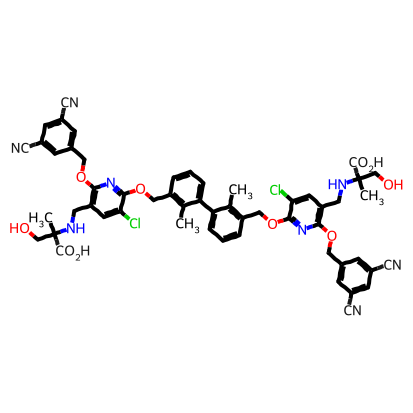 Cc1c(COc2nc(OCc3cc(C#N)cc(C#N)c3)c(CNC(C)(CO)C(=O)O)cc2Cl)cccc1-c1cccc(COc2nc(OCc3cc(C#N)cc(C#N)c3)c(CNC(C)(CO)C(=O)O)cc2Cl)c1C